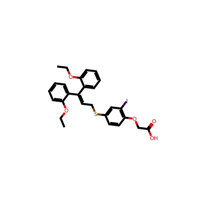 CCOc1ccccc1C(=CCSc1ccc(OCC(=O)O)c(I)c1)c1ccccc1OCC